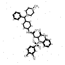 CN1CCN(C(c2ccccc2)C2CCC(NC(=O)CC3C(=O)Nc4ccccc4N3S(=O)(=O)c3ccc(Cl)c(Cl)c3)CC2)CC1